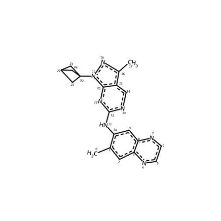 Cc1cc2nccnc2cc1Nc1ncc2c(C)nn(C34CC(C3)C4)c2n1